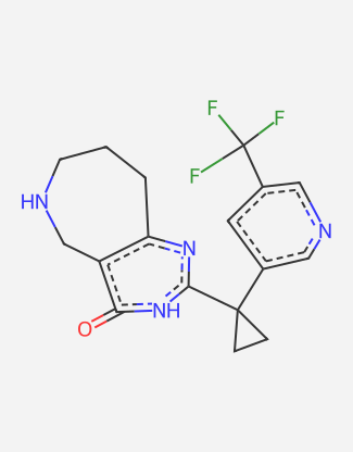 O=c1[nH]c(C2(c3cncc(C(F)(F)F)c3)CC2)nc2c1CNCCC2